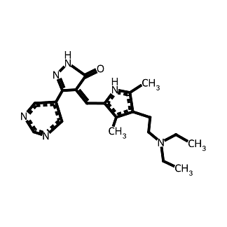 CCN(CC)CCc1c(C)[nH]c(C=C2C(=O)NN=C2c2cncnc2)c1C